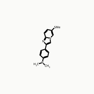 CN(C)c1ccc(-c2cn3cc(S[11CH3])ccc3n2)cc1